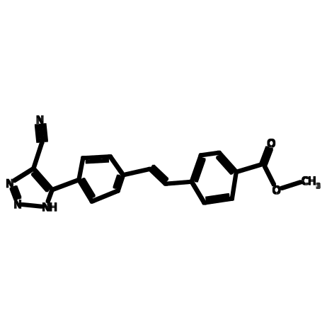 COC(=O)c1ccc(/C=C/c2ccc(-c3[nH]nnc3C#N)cc2)cc1